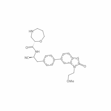 COCCn1c(=O)sc2ccc(-c3ccc(C[C@@H](C#N)NC(=O)[C@@H]4CNCCCO4)cc3)cc21